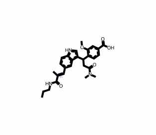 CCCNC(=O)/C(C)=C/c1ccc2[nH]cc(C(CC(=O)N(C)C)c3ccc(C(=O)O)cc3OC)c2c1